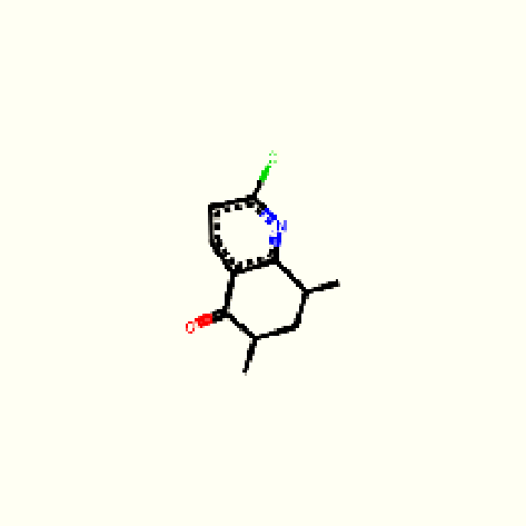 CC1CC(C)c2nc(Cl)ccc2C1=O